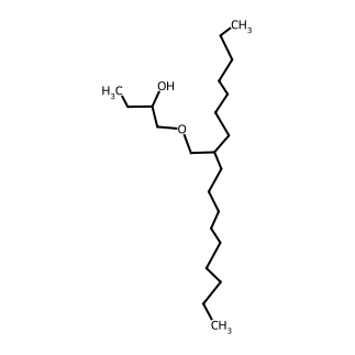 CCCCCCCCCC(CCCCCCC)COCC(O)CC